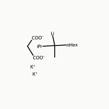 O=C([O-])CC(=O)[O-].[K+].[K+].[Li][C](C)(CCCCCC)C(C)C